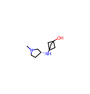 CN1CC[C@@H](NC23CC(O)(C2)C3)C1